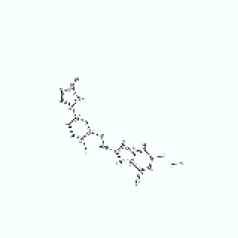 CCCc1cc(=O)n2nc(NCc3cc(-c4ccn(C)n4)ccc3C)nc2[nH]1